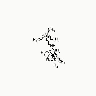 CCO[Si](CCCNC[SiH2]C(=CN(CC)CC)[Si](C)(OC)OC)(OCC)OCC